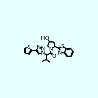 CC(C)C(C(=O)N1CC(O)CC1c1nc2ccccc2s1)n1cc(-c2cccs2)nn1